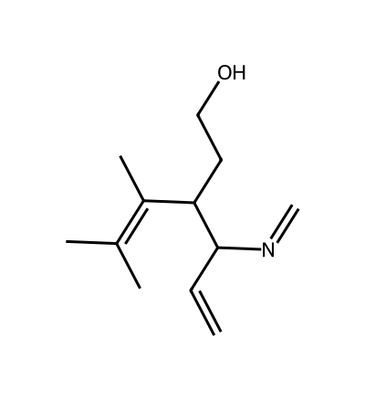 C=CC(N=C)C(CCO)C(C)=C(C)C